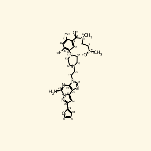 CN(CC[S+](C)[O-])C(=O)c1cc(N2CCN(CCn3cnc4c3nc(N)n3nc(-c5ccco5)cc43)CC2)c(F)cc1F